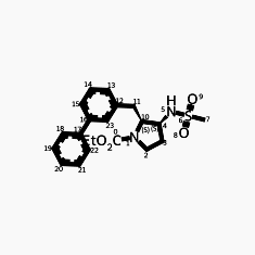 CCOC(=O)N1CC[C@H](NS(C)(=O)=O)[C@@H]1Cc1cccc(-c2ccccc2)c1